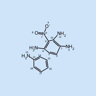 Nc1ccc(N)c([N+](=O)[O-])c1N.Nc1ccccc1